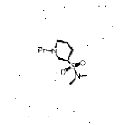 CC(C)N1CCCC(S(=O)(=O)N(C)C)C1